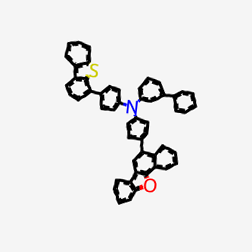 c1ccc(-c2cccc(N(c3ccc(-c4cc5c6ccccc6oc5c5ccccc45)cc3)c3ccc(-c4cccc5c4sc4ccccc45)cc3)c2)cc1